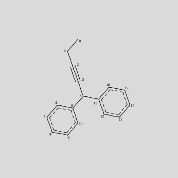 [CH2]CC#CC(c1ccccc1)c1ccccc1